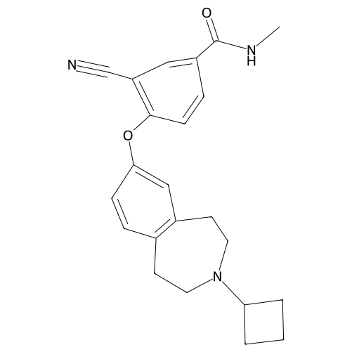 CNC(=O)c1ccc(Oc2ccc3c(c2)CCN(C2CCC2)CC3)c(C#N)c1